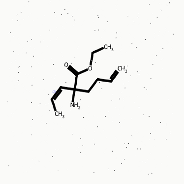 C=CCCC(N)(/C=C\C)C(=O)OCC